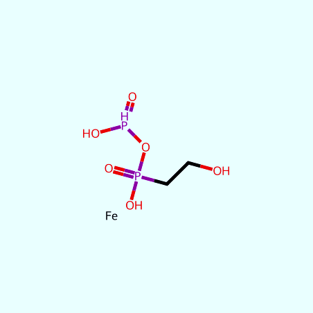 O=[PH](O)OP(=O)(O)CCO.[Fe]